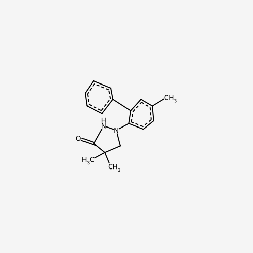 Cc1ccc(N2CC(C)(C)C(=O)N2)c(-c2ccccc2)c1